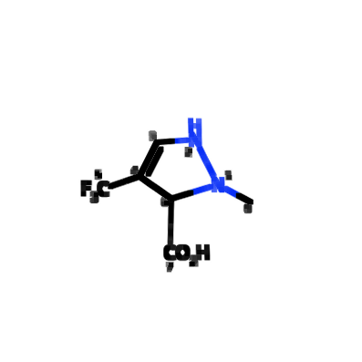 CN1NC=C(C(F)(F)F)C1C(=O)O